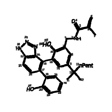 C=C(C)C(=O)NCc1cc(C(C)(C)CCCCC)cc(-c2c(-c3ccccc3O)ccc3[nH]nnc23)c1O